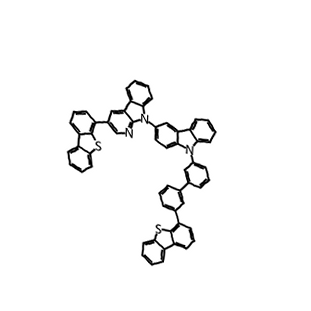 c1cc(-c2cccc(-n3c4ccccc4c4cc(-n5c6ccccc6c6cc(-c7cccc8c7sc7ccccc78)cnc65)ccc43)c2)cc(-c2cccc3c2sc2ccccc23)c1